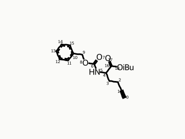 C#CCCC(NC(=O)OCc1ccccc1)C(=O)OCC(C)C